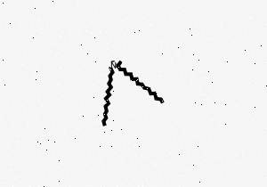 CCCCCCCCCCCCCCCCN(C)C(C)CCCCCCCCCCCCCCC